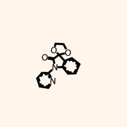 O=C1N(c2ccccn2)c2ccccc2C12OCCO2